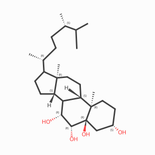 CC(C)[C@@H](C)CC[C@@H](C)C1CC[C@H]2C3[C@@H](O)[C@@H](O)[C@@]4(O)C[C@@H](O)CC[C@]4(C)[C@H]3CC[C@]12C